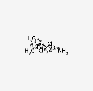 Cc1ccc2c(C)ccc(OCc3c(Cl)ccc(OCCN)c3Cl)c2n1